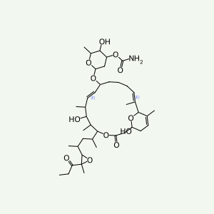 CCC(=O)C1(C)OC1C(C)CC(C)C1OC(=O)CC2(O)CC=C(C)C(O2)/C(C)=C/CCCC(OC2CC(OC(N)=O)C(O)C(C)O2)/C=C/C(C)C(O)C1C